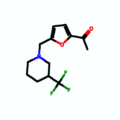 CC(=O)c1ccc(CN2CCCC(C(F)(F)F)C2)o1